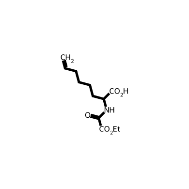 C=CCCCCC(NC(=O)C(=O)OCC)C(=O)O